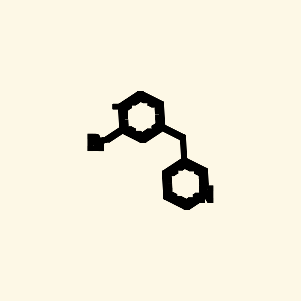 Brc1[c]ccc(Cc2cccnc2)c1